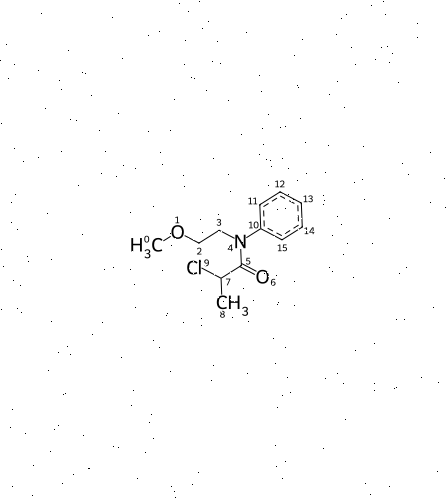 COCCN(C(=O)C(C)Cl)c1ccccc1